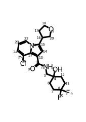 O=C(NCC1(O)CCC(F)(F)CC1)c1cc(C2CCOC2)n2cccc(Cl)c12